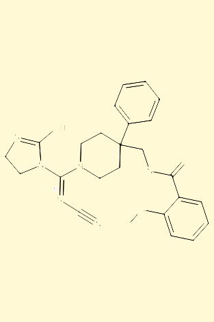 COc1ccccc1C(=O)NCC1(c2ccccc2)CCN(/C(=N\C#N)N2CCN=C2C)CC1